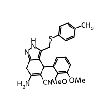 COc1cccc(C2C(C#N)=C(N)Cc3n[nH]c(CSc4ccc(C)cc4)c32)c1OC